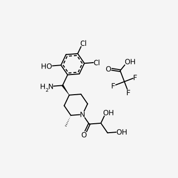 C[C@@H]1C[C@@H](C(N)c2cc(Cl)c(Cl)cc2O)CCN1C(=O)C(O)CO.O=C(O)C(F)(F)F